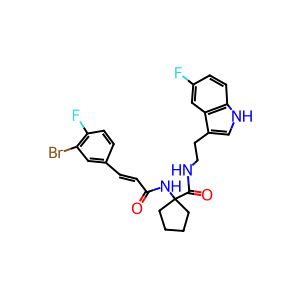 O=C(C=Cc1ccc(F)c(Br)c1)NC1(C(=O)NCCc2c[nH]c3ccc(F)cc23)CCCC1